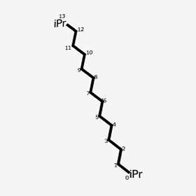 [CH2]C(C)CCCCC[CH]CCCCCCC(C)C